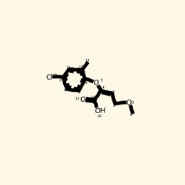 COCC=C(Oc1ccc(Cl)cc1C)C(=O)O